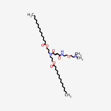 CCCCCCCCCCCCCCC(=O)OCCCN(CCCOC(=O)CCCCCCCCCCCCCC)C(=O)C=CC(=O)NCCOCCN(C)C